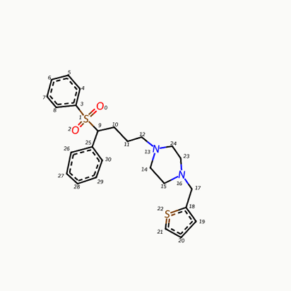 O=S(=O)(c1ccccc1)C(CCCN1CCN(Cc2cccs2)CC1)c1ccccc1